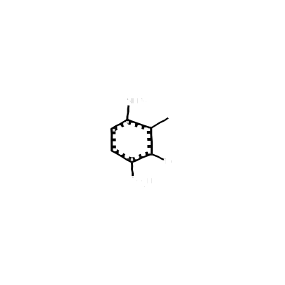 CCc1c(C(=O)O)ccc(NC(C)=O)c1C